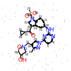 Cc1nn(-c2ccnc(Nc3ccc4c(c3)c(C(=O)C3CC3)cn4S(C)(=O)=O)n2)cc1CN1CC(O)CO1